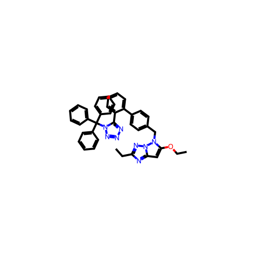 CCOc1cc2nc(CC)nn2n1Cc1ccc(-c2ccccc2-c2nnnn2C(c2ccccc2)(c2ccccc2)c2ccccc2)cc1